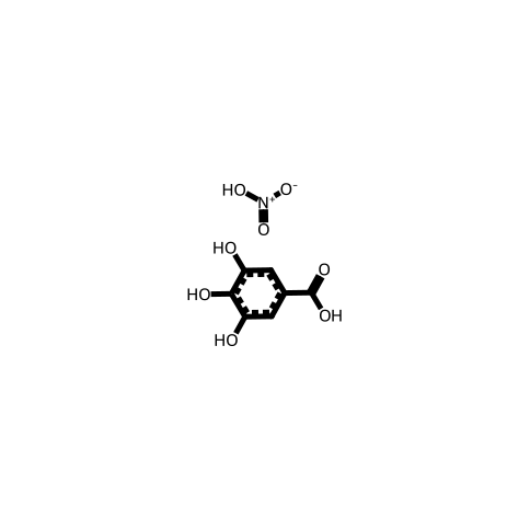 O=C(O)c1cc(O)c(O)c(O)c1.O=[N+]([O-])O